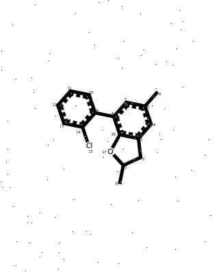 [CH2]C1Cc2cc(C)cc(-c3ccccc3Cl)c2O1